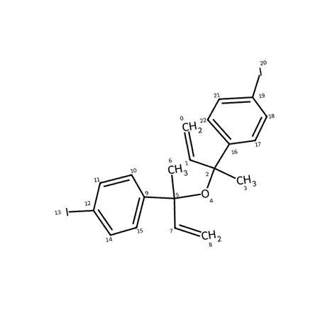 C=CC(C)(OC(C)(C=C)c1ccc(I)cc1)c1ccc(I)cc1